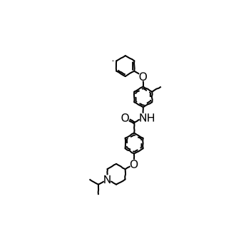 Cc1cc(NC(=O)c2ccc(OC3CCN(C(C)C)CC3)cc2)ccc1OC1=CC[CH]C=C1